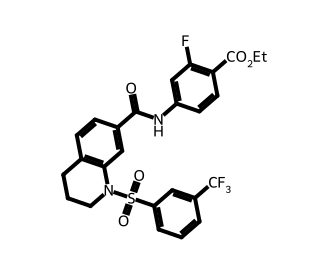 CCOC(=O)c1ccc(NC(=O)c2ccc3c(c2)N(S(=O)(=O)c2cccc(C(F)(F)F)c2)CCC3)cc1F